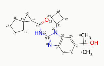 CC(C)(O)c1ccc2nc(NC(=O)C3CC34CCCC4)n(C3CCC3)c2c1